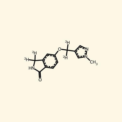 [2H]C1([2H])NC(=O)c2ccc(OC([2H])([2H])c3cnn(C)c3)cc21